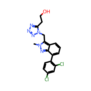 Cn1nc2c(-c3ccc(Cl)cc3Cl)cccc2c1Cn1nnnc1CCO